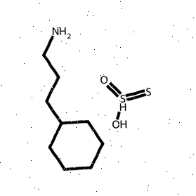 NCCCC1CCCCC1.O=[SH](O)=S